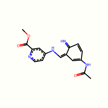 COC(=O)c1cc(N/C=C2/C=C(NC(C)=O)C=CC2=N)ccn1